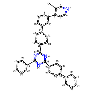 Cc1cnccc1-c1cccc(-c2ccc(-c3nc(-c4ccccc4)nc(-c4ccc(-c5ccccc5)cc4)n3)cc2)c1